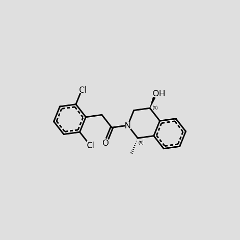 C[C@H]1c2ccccc2[C@H](O)CN1C(=O)Cc1c(Cl)cccc1Cl